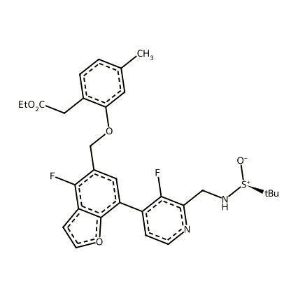 CCOC(=O)Cc1ccc(C)cc1OCc1cc(-c2ccnc(CN[S@@+]([O-])C(C)(C)C)c2F)c2occc2c1F